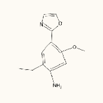 CCc1cc(-c2ncco2)c(OC)cc1N